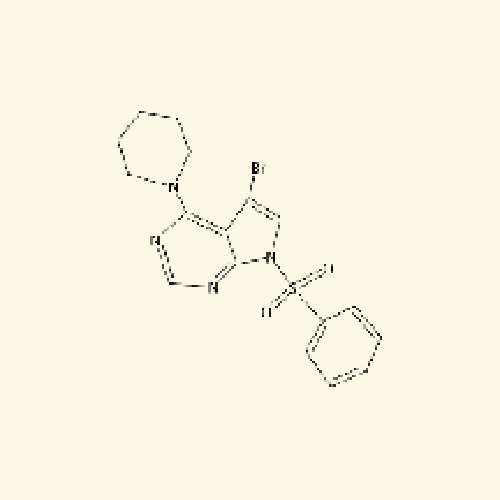 O=S(=O)(c1ccccc1)n1cc(Br)c2c(N3CCCCC3)ncnc21